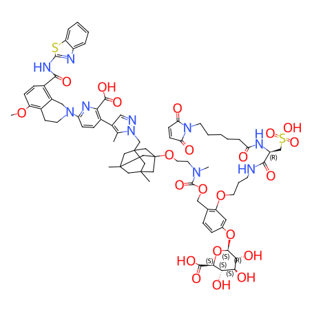 COc1ccc(C(=O)Nc2nc3ccccc3s2)c2c1CCN(c1ccc(-c3cnn(CC45CC6(C)CC(C)(C4)CC(OCCN(C)C(=O)OCc4ccc(O[C@@H]7O[C@H](C(=O)O)[C@@H](O)[C@H](O)[C@H]7O)cc4OCCCNC(=O)[C@H](CS(=O)(=O)O)NC(=O)CCCCCN4C(=O)C=CC4=O)(C6)C5)c3C)c(C(=O)O)n1)C2